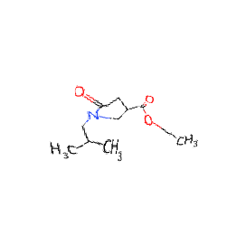 CCOC(=O)C1CC(=O)N(CC(C)C)C1